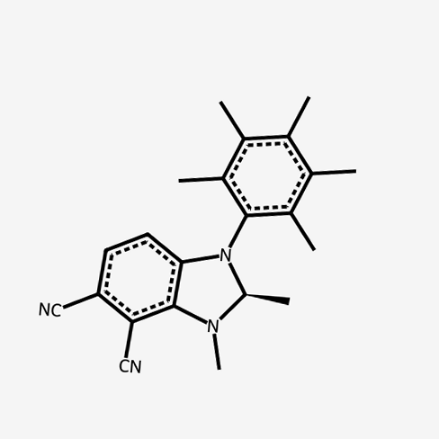 Cc1c(C)c(C)c(N2c3ccc(C#N)c(C#N)c3N(C)[C@@H]2C)c(C)c1C